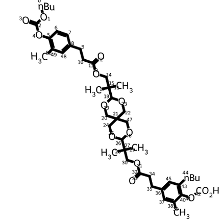 CCCCOC(=O)Oc1ccc(CCC(=O)OCC(C)(C)C2OCC3(CO2)COC(C(C)(C)COC(=O)CCc2cc(C)c(OC(=O)O)c(CCCC)c2)OC3)cc1C